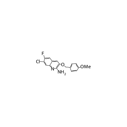 COc1ccc(COc2cc3cc(F)c(Cl)cc3nc2N)cc1